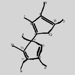 CC1=[C]C(C)(C2=C(C)C(C)=C(C)C2)C(C)=C1C